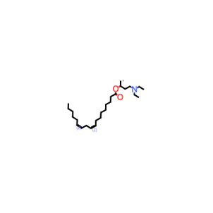 [CH2]C(CCN(CC)CC)OC(=O)CCCCCCC/C=C\C/C=C\CCCCC